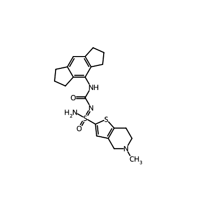 CN1CCc2sc(S(N)(=O)=NC(=O)Nc3c4c(cc5c3CCC5)CCC4)cc2C1